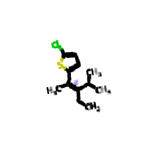 CC/C(=C(\C)c1ccc(Cl)s1)C(C)C